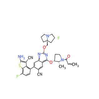 C=CC(=O)N1CC[C@@H](Oc2nc(OC[C@@]34CCCN3C[C@H](F)C4)nc3cc(-c4ccc(F)c5sc(N)c(C#N)c45)c(C#N)cc23)[C@H]1C